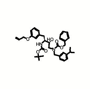 C=CCOc1cccc(C[C@H](NC(=O)OC(C)(C)C)[C@H](O)CN(Cc2cccc(C(C)C)c2)C(=O)OCc2ccccc2)c1